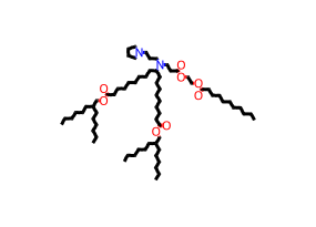 CCCCCCCCCCC(=O)OCCOC(=O)CCN(CCCN1CCCC1)C(CCCCCCCCC(=O)OCC(CCCCCC)CCCCCC)CCCCCCCCC(=O)OCC(CCCCCC)CCCCCC